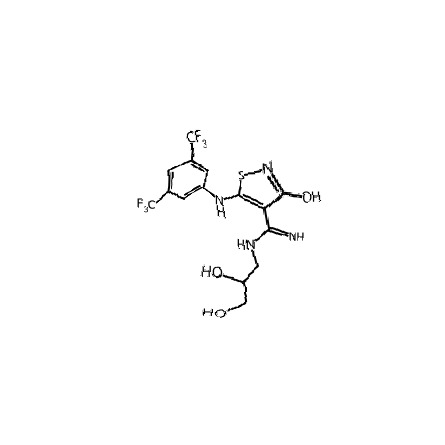 N=C(NCC(O)CO)c1c(O)nsc1Nc1cc(C(F)(F)F)cc(C(F)(F)F)c1